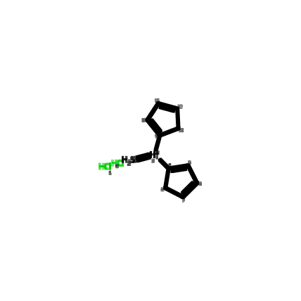 Cl.Cl.[SiH2]=[Hf]([C]1=CC=CC1)[C]1=CC=CC1